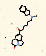 CCN(CCCCCC(=O)c1cc2c3c(c1)CCN3C(=O)CC2)C1Cc2ccccc2C1.Cl